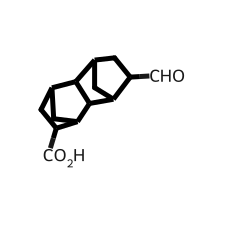 O=CC1CC2CC1C1C3CC(CC3C(=O)O)C21